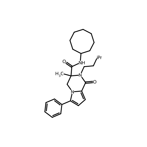 CC(C)CCN1C(=O)c2ccc(-c3ccccc3)n2CC1(C)C(=O)NC1CCCCCCC1